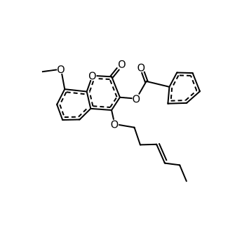 CC/C=C/CCOc1c(OC(=O)c2ccccc2)c(=O)oc2c(OC)cccc12